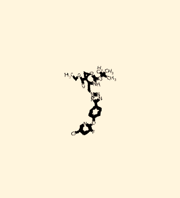 CCOC(=O)C1(C(Cn2nnc(-c3ccc(Oc4ncc(Cl)cc4F)cc3)n2)NC(=O)OC(C)(C)C)CC1